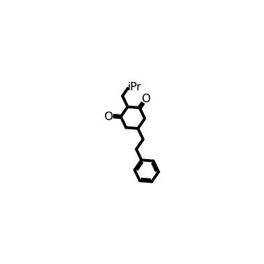 CC(C)CC1C(=O)CC(CCc2ccccc2)CC1=O